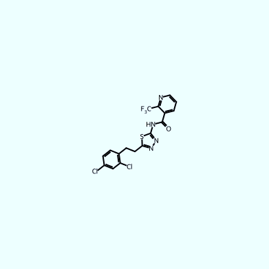 O=C(Nc1nnc(CCc2ccc(Cl)cc2Cl)s1)c1cccnc1C(F)(F)F